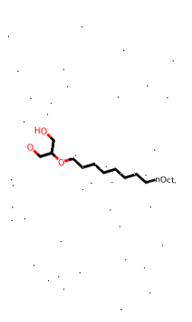 CCCCCCCCCCCCCCCCOC(C[O])CO